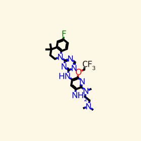 CN(C)CCN(C)c1nc(OCC(F)(F)F)c(Nc2ncnc(N3CCC(C)(C)c4cc(F)ccc43)n2)cc1N